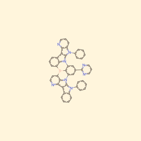 c1ccc(-n2c3cccnc3c3c4cccc5c4n(c32)-c2cc(-c3ncccn3)cc3c2B5c2ccnc4c5c6ccccc6n(-c6ccccc6)c5n-3c24)cc1